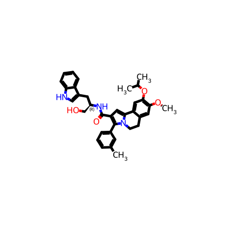 COc1cc2c(cc1OC(C)C)-c1cc(C(=O)N[C@@H](CO)Cc3c[nH]c4ccccc34)c(-c3cccc(C)c3)n1CC2